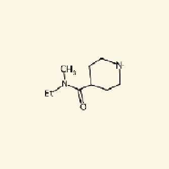 CCN(C)C(=O)C1CC[N]CC1